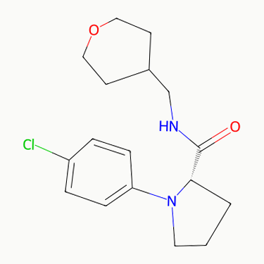 O=C(NCC1CCOCC1)[C@@H]1CCCN1c1ccc(Cl)cc1